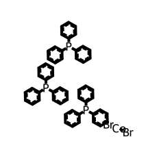 [Br][Co][Br].c1ccc(P(c2ccccc2)c2ccccc2)cc1.c1ccc(P(c2ccccc2)c2ccccc2)cc1.c1ccc(P(c2ccccc2)c2ccccc2)cc1